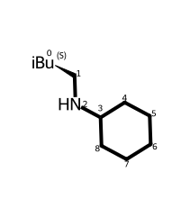 CC[C@H](C)CNC1CCCCC1